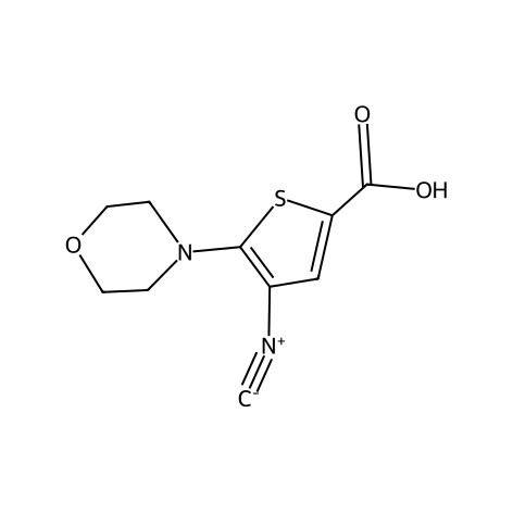 [C-]#[N+]c1cc(C(=O)O)sc1N1CCOCC1